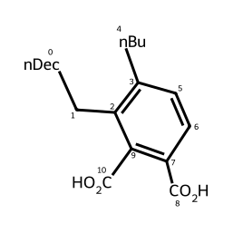 CCCCCCCCCCCc1c(CCCC)ccc(C(=O)O)c1C(=O)O